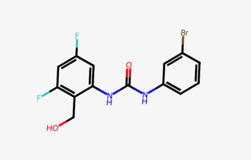 O=C(Nc1cccc(Br)c1)Nc1cc(F)cc(F)c1CO